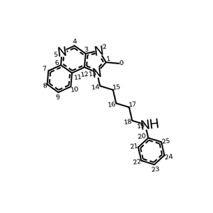 Cc1nc2cnc3ccccc3c2n1CCCCCNc1ccccc1